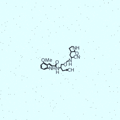 C#CCC(COCNC(C#N)CC1CCNC1=O)NC(=O)c1cc2c(OC)cccc2[nH]1